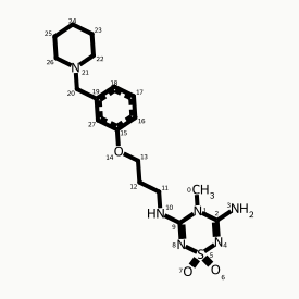 CN1C(N)=NS(=O)(=O)N=C1NCCCOc1cccc(CN2CCCCC2)c1